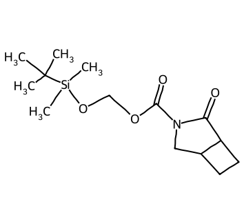 CC(C)(C)[Si](C)(C)OCOC(=O)N1CC2CCC2C1=O